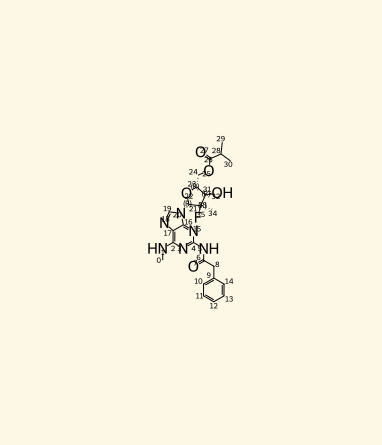 CNc1nc(NC(=O)Cc2ccccc2)nc2c1ncn2[C@@H]1O[C@H](COC(=O)C(C)C)[C@@H](O)[C@@]1(C)F